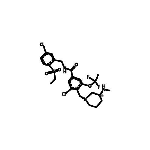 CCS(=O)(=O)c1ccc(Cl)cc1CNC(=O)c1cc(Cl)c(CN2CCC[C@H](NC)C2)c(OC(F)(F)F)c1